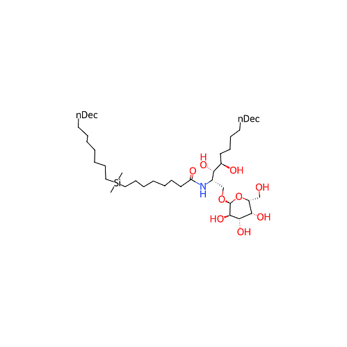 CCCCCCCCCCCCCCCCC[Si](C)(C)CCCCCCCC(=O)N[C@@H](CO[C@H]1O[C@H](CO)[C@H](O)[C@H](O)[C@H]1O)[C@H](O)[C@H](O)CCCCCCCCCCCCCC